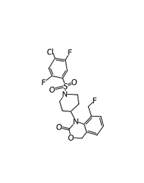 O=C1OCc2cccc(CF)c2N1C1CCN(S(=O)(=O)c2cc(F)c(Cl)cc2F)CC1